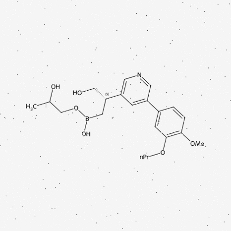 CCCOc1cc(-c2cncc([C@@H](CO)CB(O)OCC(C)O)c2)ccc1OC